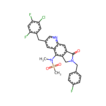 CN(c1c2c(cc3ncc(Cc4cc(Cl)c(F)cc4F)cc13)C(=O)N(Cc1ccc(F)cc1)C2)S(C)(=O)=O